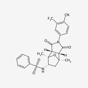 C[C@]12O[C@](C)(C[C@@H]1NS(=O)(=O)c1ccccc1)[C@H]1C(=O)N(c3ccc(C#N)c(C(F)(F)F)c3)C(=O)[C@H]12